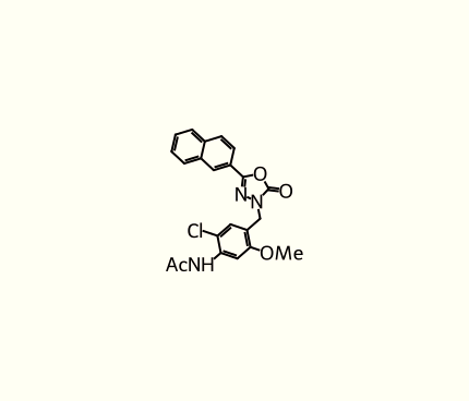 COc1cc(NC(C)=O)c(Cl)cc1Cn1nc(-c2ccc3ccccc3c2)oc1=O